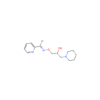 OC(CON=C(Cl)c1ccccn1)CN1CCCCC1